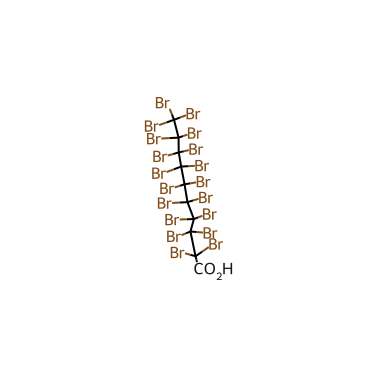 O=C(O)C(Br)(Br)C(Br)(Br)C(Br)(Br)C(Br)(Br)C(Br)(Br)C(Br)(Br)C(Br)(Br)C(Br)(Br)C(Br)(Br)Br